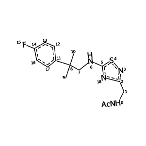 CC(=O)NCc1nsc(NCC(C)(C)c2ccc(F)cc2)n1